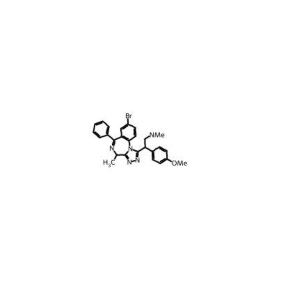 CNCC(c1ccc(OC)cc1)c1nnc2n1-c1ccc(Br)cc1C(c1ccccc1)=NC2C